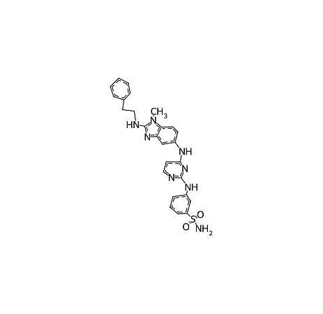 Cn1c(NCCc2ccccc2)nc2cc(Nc3ccnc(Nc4cccc(S(N)(=O)=O)c4)n3)ccc21